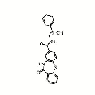 O=C(NC[C@@H](O)c1ccccc1)c1ccc2c(c1)NC(=O)c1ccccc1S2